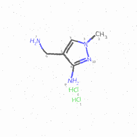 Cl.Cl.Cn1cc(CN)c(N)n1